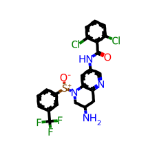 NC1Cc2ncc(NC(=O)c3c(Cl)cccc3Cl)cc2N([S+]([O-])c2cccc(C(F)(F)F)c2)C1